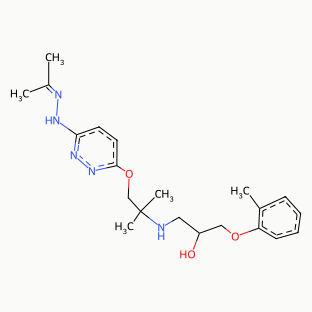 CC(C)=NNc1ccc(OCC(C)(C)NCC(O)COc2ccccc2C)nn1